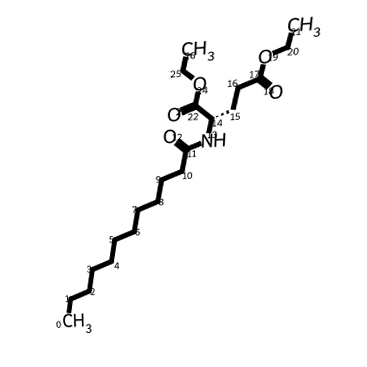 CCCCCCCCCCCC(=O)N[C@@H](CCC(=O)OCC)C(=O)OCC